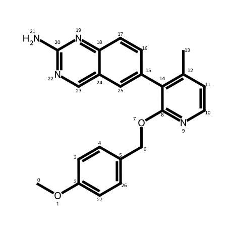 COc1ccc(COc2nccc(C)c2-c2ccc3nc(N)ncc3c2)cc1